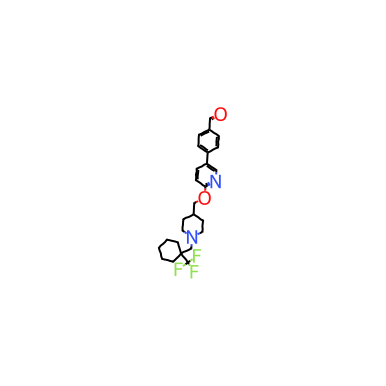 O=Cc1ccc(-c2ccc(OCC3CCN(CC4(C(F)(F)F)CCCCC4)CC3)nc2)cc1